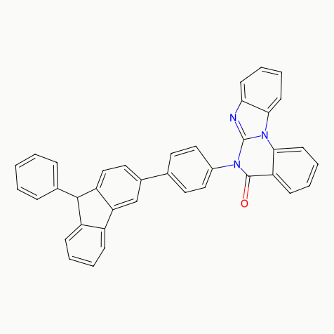 O=c1c2ccccc2n2c3ccccc3nc2n1-c1ccc(-c2ccc3c(c2)-c2ccccc2C3c2ccccc2)cc1